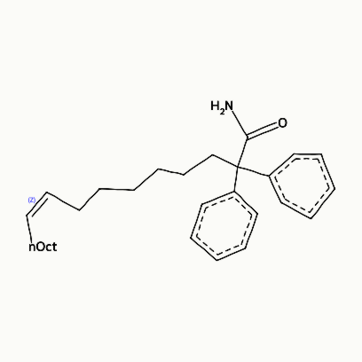 CCCCCCCC/C=C\CCCCCCC(C(N)=O)(c1ccccc1)c1ccccc1